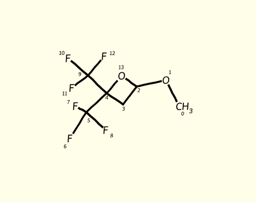 COC1CC(C(F)(F)F)(C(F)(F)F)O1